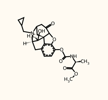 COC(=O)[C@H](C)NC(=O)Oc1ccc2c3c1OC1C(=O)CC4C[C@]31C(C)(O)[C@@H](C2)N4CC1CC1